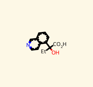 CCC(O)(C(=O)O)c1cccc2cnccc12